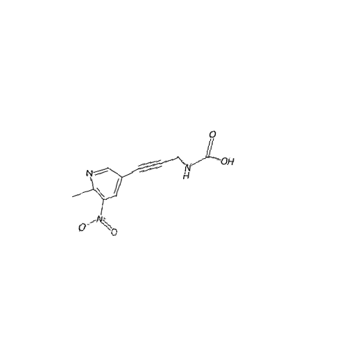 Cc1ncc(C#CCNC(=O)O)cc1[N+](=O)[O-]